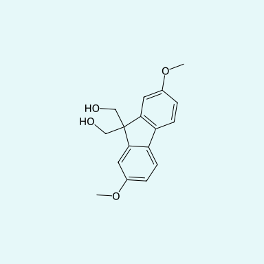 COc1ccc2c(c1)C(CO)(CO)c1cc(OC)ccc1-2